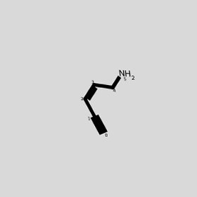 C#C/C=C\CN